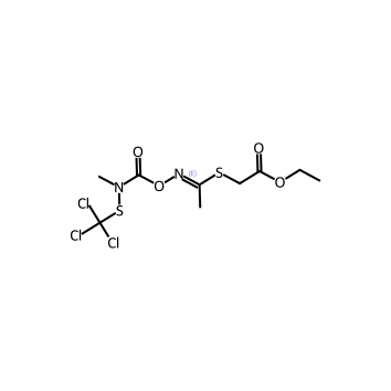 CCOC(=O)CS/C(C)=N/OC(=O)N(C)SC(Cl)(Cl)Cl